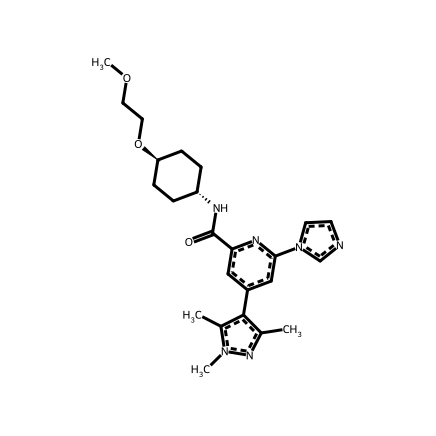 COCCO[C@H]1CC[C@H](NC(=O)c2cc(-c3c(C)nn(C)c3C)cc(-n3ccnc3)n2)CC1